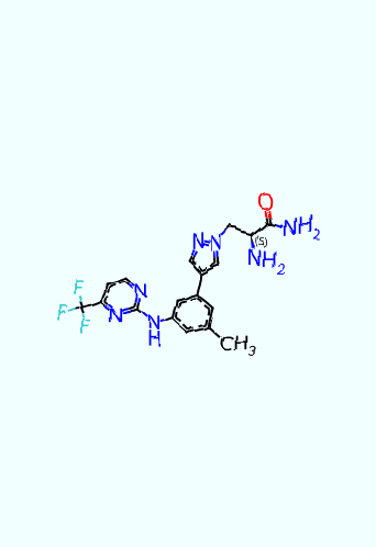 Cc1cc(Nc2nccc(C(F)(F)F)n2)cc(-c2cnn(C[C@H](N)C(N)=O)c2)c1